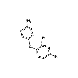 CCc1ccc(Oc2ccc(N)cc2)c(C(C)C)c1